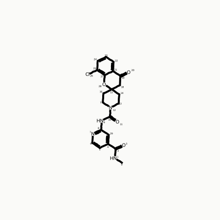 CNC(=O)c1ccnc(NC(=O)N2CCC3(CC2)CC(=O)c2cccc(Cl)c2O3)c1